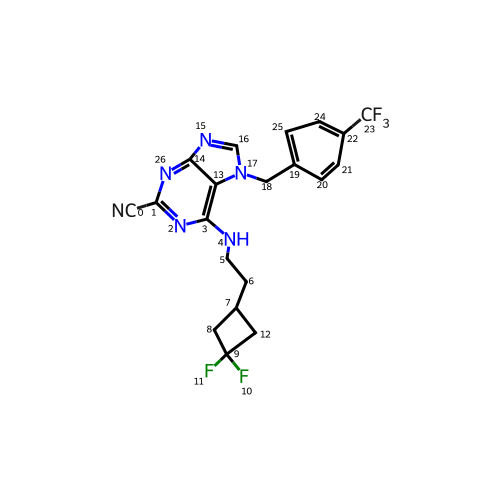 N#Cc1nc(NCCC2CC(F)(F)C2)c2c(ncn2Cc2ccc(C(F)(F)F)cc2)n1